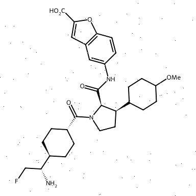 COC1CCC([C@H]2CCN(C(=O)[C@H]3CC[C@H]([C@H](N)CF)CC3)[C@H]2C(=O)Nc2ccc3oc(C(=O)O)cc3c2)CC1